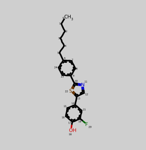 CCCCCCc1ccc(-c2ncc(-c3ccc(O)c(F)c3)s2)cc1